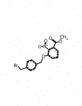 COC(=O)c1cccc(OCc2ccc(CBr)cc2)c1[N+](=O)[O-]